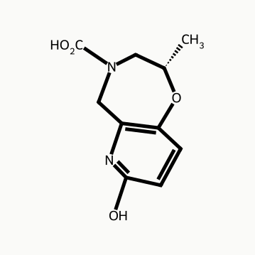 C[C@H]1CN(C(=O)O)Cc2nc(O)ccc2O1